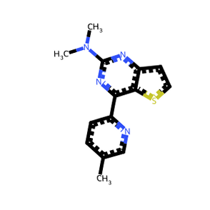 Cc1ccc(-c2nc(N(C)C)nc3ccsc23)nc1